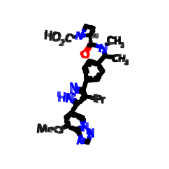 COc1cc(-c2[nH]nc(-c3ccc(C(C)N(C)C(=O)[C@@H]4CCN4C(=O)O)cc3)c2C(C)C)cn2ncnc12